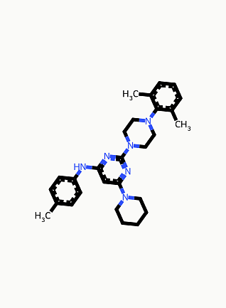 Cc1ccc(Nc2cc(N3CCCCC3)nc(N3CCN(c4c(C)cccc4C)CC3)n2)cc1